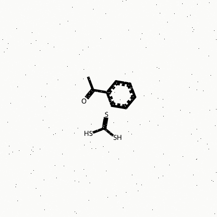 CC(=O)c1ccccc1.S=C(S)S